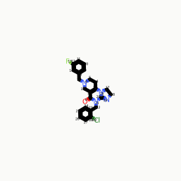 O=C1C2=C(CCN(Cc3cccc(F)c3)C2)N2CCN=C2N1Cc1ccccc1Cl